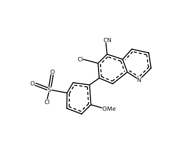 COc1ccc(S(=O)(=O)Cl)cc1-c1cc2ncccc2c(C#N)c1Cl